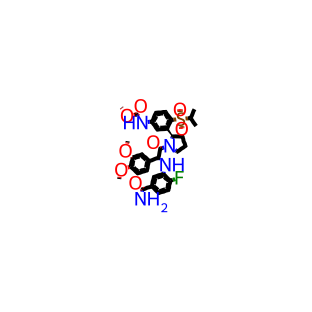 COC(=O)Nc1ccc(S(=O)(=O)C(C)C)c([C@H]2CCCN2C(=O)[C@@H](Nc2cc(C(N)=O)ccc2F)c2ccc(OC)c(OC)c2)c1